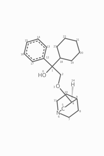 OC(CO[C@@H]1CN2CCC1CC2)(c1ccccc1)C1CCCCC1